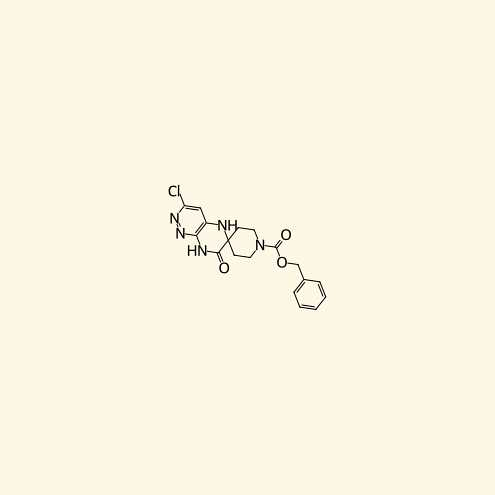 O=C(OCc1ccccc1)N1CCC2(CC1)Nc1cc(Cl)nnc1NC2=O